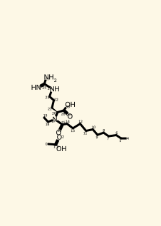 CC(=O)O.CCCCCCCCCCCC(=O)N(CC)[C@@H](CCCNC(=N)N)C(=O)O